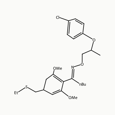 CCCC/C(=N\OCC(C)Oc1ccc(Cl)cc1)C1=C(OC)CC(CSCC)C=C1OC